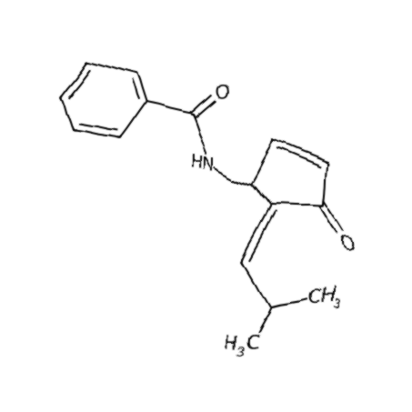 CC(C)C=C1C(=O)C=CC1NC(=O)c1ccccc1